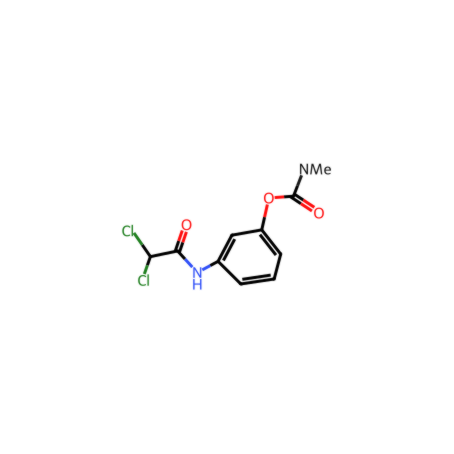 CNC(=O)Oc1cccc(NC(=O)C(Cl)Cl)c1